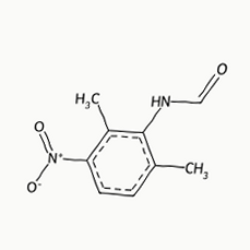 Cc1ccc([N+](=O)[O-])c(C)c1NC=O